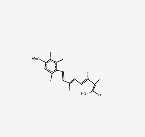 CCC(C(=O)O)=C(C)C(F)=CC=C(C)C=Cc1c(C)cc(OC)c(C)c1C